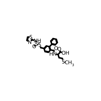 CSCCC(NC(=O)c1ccc(CS[S+]([O-])Nc2nccs2)cc1-c1ccccc1)C(=O)O